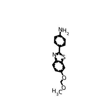 COCOc1ccc2nc(-c3ccc(N)cc3)sc2c1